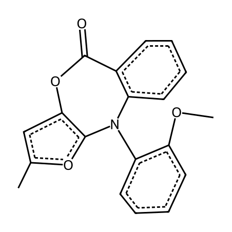 COc1ccccc1N1c2ccccc2C(=O)Oc2cc(C)oc21